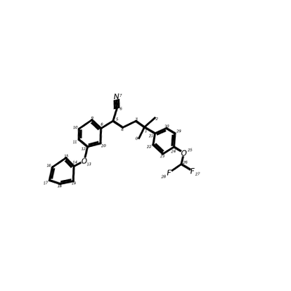 CC(C)(CCC(C#N)c1cccc(Oc2ccccc2)c1)c1ccc(OC(F)F)cc1